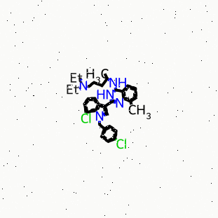 CCN(CC)CCCC(C)NC1NC(c2cn(Cc3ccc(Cl)cc3)c3c(Cl)cccc23)=Nc2c(C)cccc21